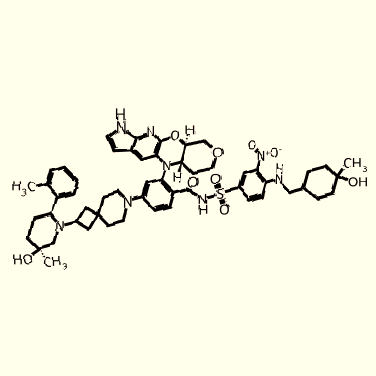 Cc1ccccc1[C@@H]1CC[C@](C)(O)CN1C1CC2(CCN(c3ccc(C(=O)NS(=O)(=O)c4ccc(NCC5CCC(C)(O)CC5)c([N+](=O)[O-])c4)c(N4c5cc6cc[nH]c6nc5O[C@H]5COCC[C@@H]54)c3)CC2)C1